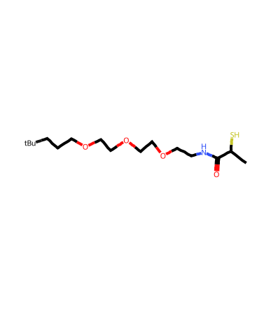 CC(S)C(=O)NCCOCCOCCOCCCC(C)(C)C